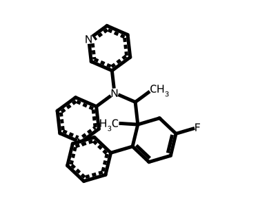 CC(N(c1cccnc1)c1cccnc1)C1(C)CC(F)=CC=C1c1ccccc1